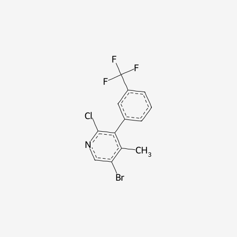 Cc1c(Br)cnc(Cl)c1-c1cccc(C(F)(F)F)c1